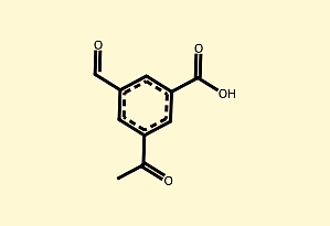 CC(=O)c1cc(C=O)cc(C(=O)O)c1